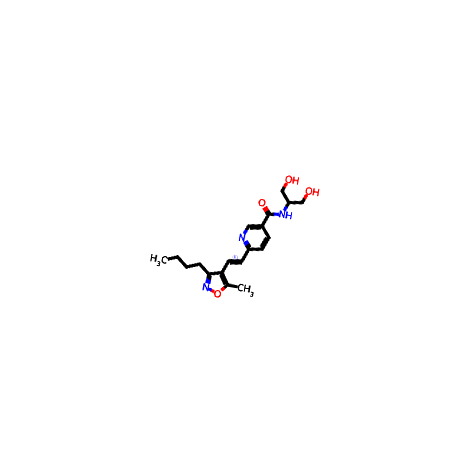 CCCCc1noc(C)c1/C=C/c1ccc(C(=O)NC(CO)CO)cn1